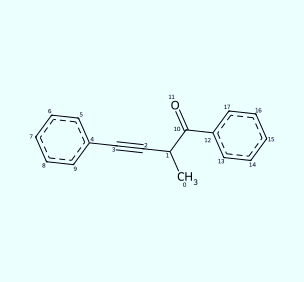 CC(C#Cc1ccccc1)C(=O)c1ccccc1